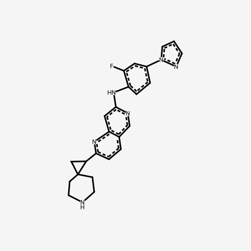 Fc1cc(-n2cccn2)ccc1Nc1cc2nc(C3CC34CCNCC4)ccc2cn1